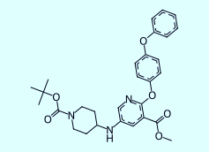 COC(=O)c1cc(NC2CCN(C(=O)OC(C)(C)C)CC2)cnc1Oc1ccc(Oc2ccccc2)cc1